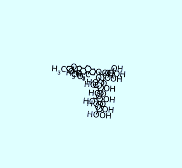 CC1CCC2(OC1)OC1CC3C4CCC5CC(OC6OC(CO)C(OC7OC(CO)C(O)C(OC8OC(CO)C(O)C(OC9OCC(O)C(O)C9O)C8O)C7O)C(OC7OCC(O)C(O)C7O)C6O)CCC5(C)C4CC(=O)C3(C)C1C2C